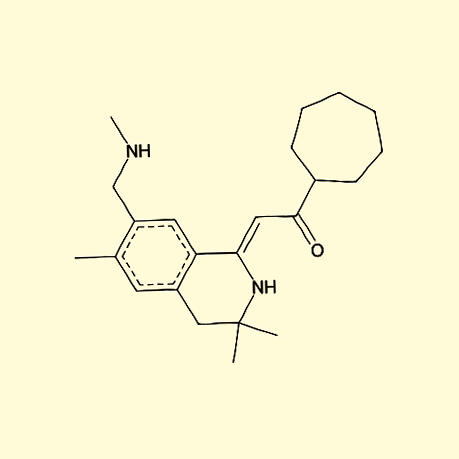 CNCc1cc2c(cc1C)CC(C)(C)NC2=CC(=O)C1CCCCCC1